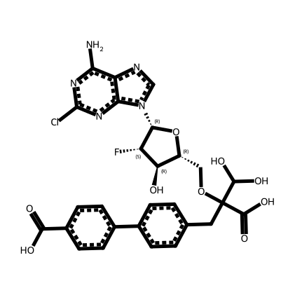 Nc1nc(Cl)nc2c1ncn2[C@@H]1O[C@H](COC(Cc2ccc(-c3ccc(C(=O)O)cc3)cc2)(C(=O)O)C(O)O)[C@@H](O)[C@@H]1F